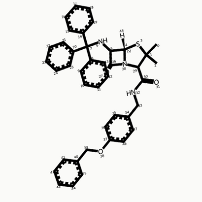 CC1(C)S[C@H]2C(NC(c3ccccc3)(c3ccccc3)c3ccccc3)C(=O)N2C1C(=O)NCc1ccc(OCc2ccccc2)cc1